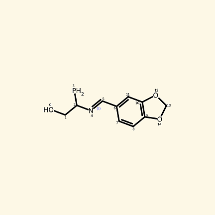 OCC(P)/N=C/c1ccc2c(c1)OCO2